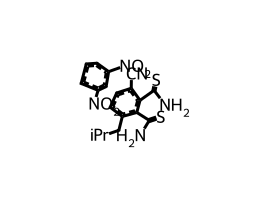 CC(C)Cc1ccc(C#N)c(C(N)=S)c1C(N)=S.O=[N+]([O-])c1cccc([N+](=O)[O-])c1